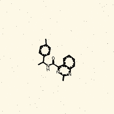 Cc1ccc(C(C)NC(=O)c2nc(C)nc3ccccc23)cc1